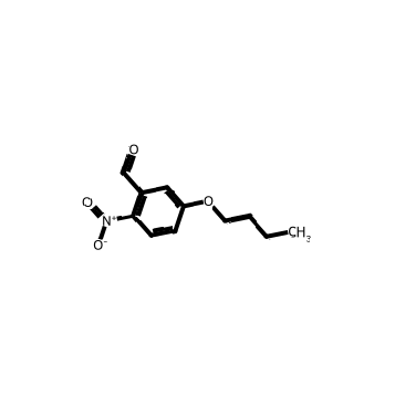 CCCCOc1ccc([N+](=O)[O-])c(C=O)c1